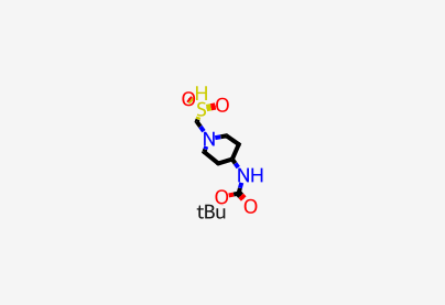 CC(C)(C)OC(=O)NC1CCN(C[SH](=O)=O)CC1